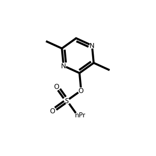 CCCS(=O)(=O)Oc1nc(C)cnc1C